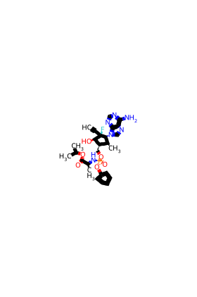 C#C[C@@]1(F)[C@H](O)[C@@H](CO[P@@](=O)(N[C@@H](C)C(=O)OC(C)C)Oc2ccccc2)[C@@H](C)[C@H]1n1cnc2c(N)ncnc21